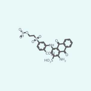 Nc1c(S(=O)(=O)O)cc(Nc2cc(S(=O)(=O)CCO[SH](=O)=O)ccc2C(=O)O)c2c1C(=O)c1ccccc1C2=O